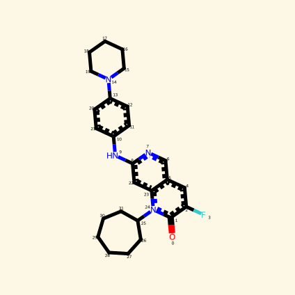 O=c1c(F)cc2cnc(Nc3ccc(N4CCCCC4)cc3)cc2n1C1CCCCCC1